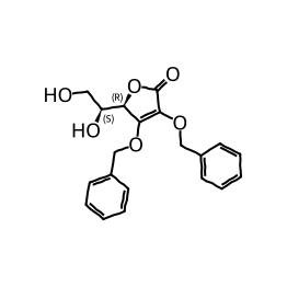 O=C1O[C@H]([C@@H](O)CO)C(OCc2ccccc2)=C1OCc1ccccc1